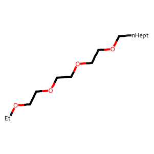 [CH2]COCCOCCOCCOCCCCCCCC